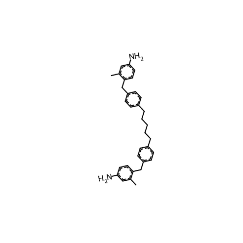 Cc1cc(N)ccc1Cc1ccc(CCCCCc2ccc(Cc3ccc(N)cc3C)cc2)cc1